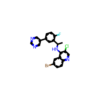 CC(Nc1c(Cl)cnc2ccc(Br)cc12)c1cc(-c2cncnc2)ccc1F